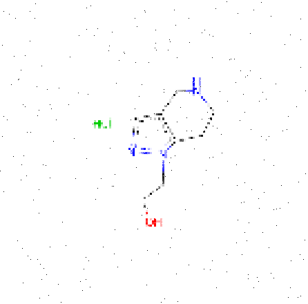 Cl.OCCn1ncc2c1CCNC2